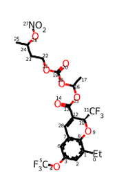 CCc1cc(OC(F)(F)F)cc2c1O[C@H](C(F)(F)F)C(C(=O)OC(C)OC(=O)OCCC(C)O[N+](=O)[O-])=C2